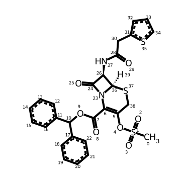 CS(=O)(=O)OC1=C(C(=O)OC(c2ccccc2)c2ccccc2)N2C(=O)[C@@H](NC(=O)Cc3cccs3)[C@H]2SC1